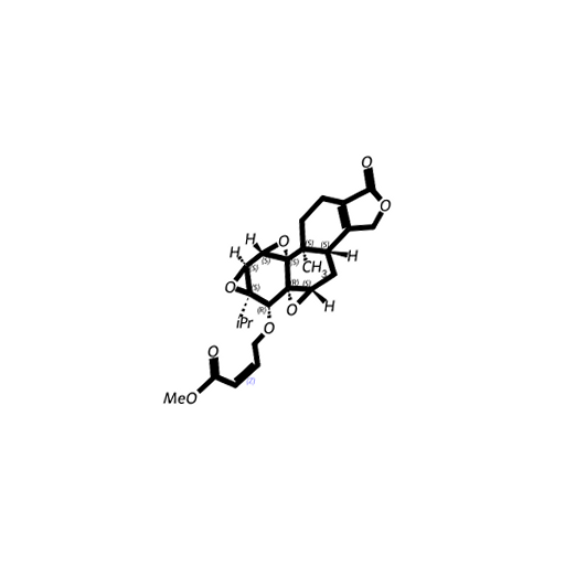 COC(=O)/C=C\CO[C@@H]1[C@@]2(C(C)C)O[C@H]2[C@@H]2O[C@]23[C@]12O[C@H]2C[C@H]1C2=C(CC[C@@]13C)C(=O)OC2